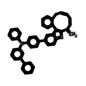 C=C1/C=C\C=C/Cc2ccccc2-c2c1sc1ccc(-c3ccc(N(c4ccccc4)c4cccc(-c5ccccc5)c4)cc3)cc21